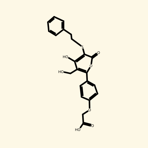 O=C(O)COc1ccc(-c2oc(=O)c(SCCc3ccccc3)c(O)c2CO)cc1